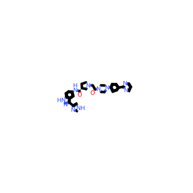 O=C(Nc1ccc2[nH]nc(-c3c[nH]cn3)c2c1)[C@@H]1CCN(CC(=O)N2CCN(c3ccc(-c4ncccn4)cc3)CC2)C1